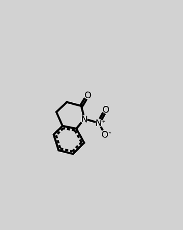 O=C1CCc2ccccc2N1[N+](=O)[O-]